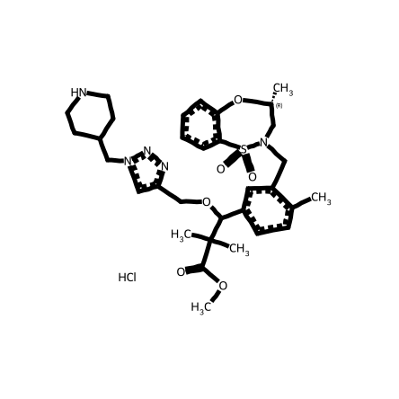 COC(=O)C(C)(C)C(OCc1cn(CC2CCNCC2)nn1)c1ccc(C)c(CN2C[C@@H](C)Oc3ccccc3S2(=O)=O)c1.Cl